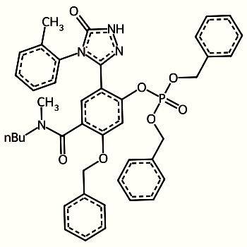 CCCCN(C)C(=O)c1cc(-c2n[nH]c(=O)n2-c2ccccc2C)c(OP(=O)(OCc2ccccc2)OCc2ccccc2)cc1OCc1ccccc1